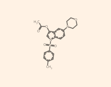 CC(=O)Oc1cn(S(=O)(=O)c2ccc(C)cc2)c2ccc(N3CCOCC3)cc12